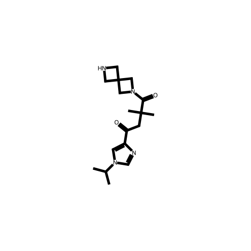 CC(C)n1cnc(C(=O)CC(C)(C)C(=O)N2CC3(CNC3)C2)c1